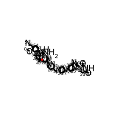 COc1cc(OC2([C@@]3(C(N)=O)C=CC(N4CCC(CN5CCN(c6ccn7c(N8CCC(=O)NC8=O)cnc7c6)CC5)CC4)=NN3)C(C)(C)CC2(C)C)ccc1C#N